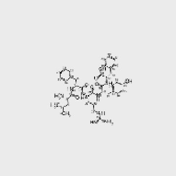 CC(C)C[C@H](N)C(=O)N[C@@H](Cc1ccccc1)C(=O)N[C@@H](CCCNC(=N)N)C(=O)N[C@@H](Cc1ccc(O)cc1)C(=O)N[C@@H](Cc1ccccc1)C(=O)O